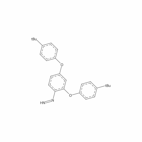 CC(C)(C)c1ccc(Oc2ccc(N=N)c(Oc3ccc(C(C)(C)C)cc3)c2)cc1